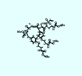 C=CS(=O)(=O)N[C@@H](CCNC(=O)OC(C)(C)C)C(=O)N(C)[C@@H]1C(=O)N[C@@H](C)C(=O)N[C@H](C(=O)OC)Cc2ccc(OCCNC(=O)OC(C)(C)C)c(c2)-c2cc1ccc2OCCNC(=O)OC(C)(C)C